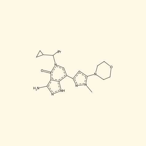 CC(C)C(C1CC1)n1cc(-c2cc(N3CCOCC3)n(C)n2)c2[nH]nc(N)c2c1=O